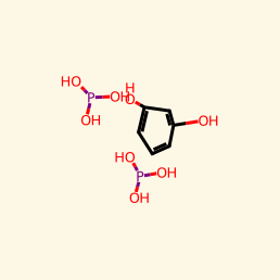 OP(O)O.OP(O)O.Oc1cccc(O)c1